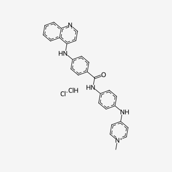 C[n+]1ccc(Nc2ccc(NC(=O)c3ccc(Nc4ccnc5ccccc45)cc3)cc2)cc1.Cl.[Cl-]